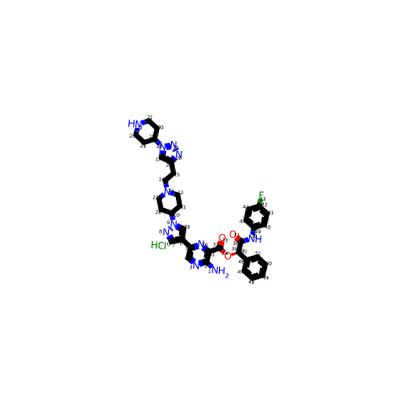 Cl.Nc1ncc(-c2cnn(C3CCN(CCc4cn(C5CCNCC5)nn4)CC3)c2)nc1C(=O)O[C@@H](C(=O)Nc1ccc(F)cc1)c1ccccc1